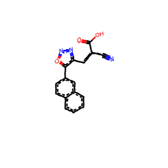 N#CC(=Cc1nnoc1-c1ccc2ccccc2c1)C(=O)O